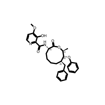 COc1ccnc(C(=O)N[C@H]2CCCC[C@H](Cc3ccccc3)[C@@H](Oc3ccccc3)[C@H](C)OC2=O)c1O